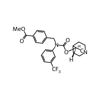 COC(=O)c1ccc(CN(C(=O)O[C@H]2CN3CCC2CC3)c2cccc(C(F)(F)F)c2)cc1